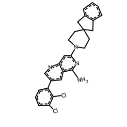 Nc1nc(N2CCC3(CC2)Cc2ccccc2C3)cc2ncc(-c3cccc(Cl)c3Cl)cc12